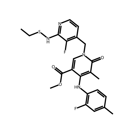 CCSNc1nccc(Cn2cc(C(=O)OC)c(Nc3ccc(C)cc3F)c(C)c2=O)c1F